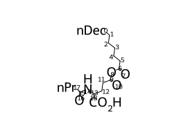 CCCCCCCCCCCCCCCC(=O)OC(=O)CC[C@H](NC(=O)CCC)C(=O)O